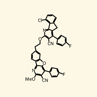 COc1nc2c(oc3cc(CCOc4nc5c(c(-c6ccc(F)cc6)c4C#N)Cc4cccc(Cl)c4-5)ccc32)c(-c2ccc(F)cc2)c1C#N